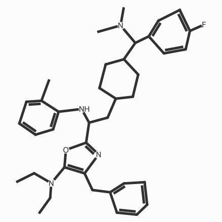 CCN(CC)c1oc(C(CC2CCC(C(c3ccc(F)cc3)N(C)C)CC2)Nc2ccccc2C)nc1Cc1ccccc1